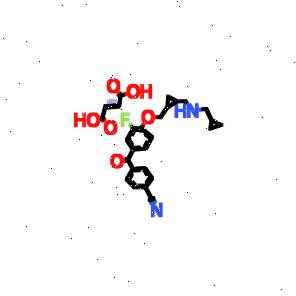 N#Cc1ccc(C(=O)c2ccc(OCC3CC3CNCC3CC3)c(F)c2)cc1.O=C(O)/C=C/C(=O)O